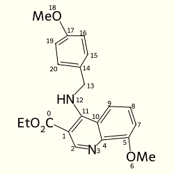 CCOC(=O)c1cnc2c(OC)cccc2c1NCc1ccc(OC)cc1